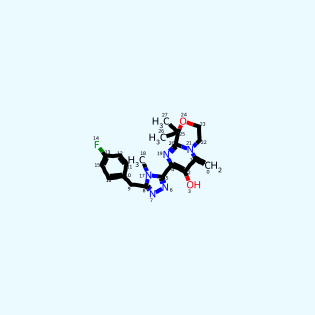 C=C1C(O)=C(c2nnc(Cc3ccc(F)cc3)n2C)N=C2N1CCOC2(C)C